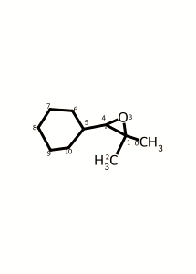 CC1(C)O[C]1C1CCCCC1